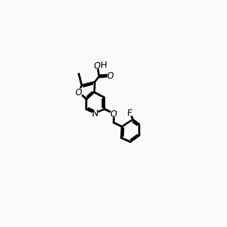 Cc1oc2cnc(OCc3ccccc3F)cc2c1C(=O)O